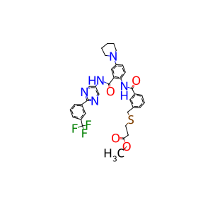 COC(=O)CCSCc1cccc(C(=O)Nc2ccc(N3CCCCC3)cc2C(=O)Nc2cnc(-c3cccc(C(F)(F)F)c3)nc2)c1